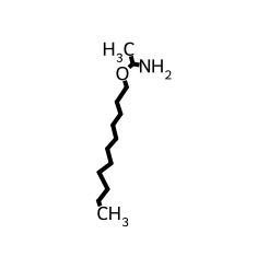 CCCCCCCCCCCOC(C)N